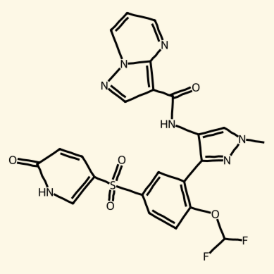 Cn1cc(NC(=O)c2cnn3cccnc23)c(-c2cc(S(=O)(=O)c3ccc(=O)[nH]c3)ccc2OC(F)F)n1